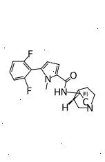 Cn1c(C(=O)N[C@H]2CN3CCC2CC3)ccc1-c1c(F)cccc1F